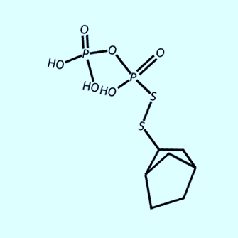 O=P(O)(O)OP(=O)(O)SSC1CC2CCC1C2